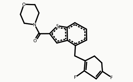 O=C(c1cc2c(CC3=C(F)C=C(F)CC3)cccc2s1)N1CCOCC1